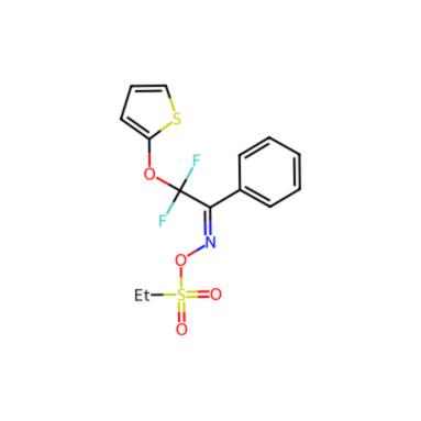 CCS(=O)(=O)ON=C(c1ccccc1)C(F)(F)Oc1cccs1